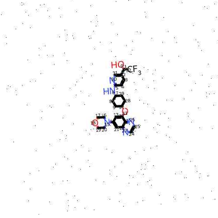 OC(c1ccc(N[C@H]2CC[C@@H](Oc3cc(N4CCOCC4)cc4nccnc34)CC2)nc1)C(F)(F)F